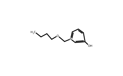 CCCCOC[n+]1cccc(O)c1